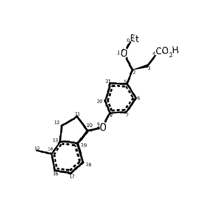 CCO[C@@H](CC(=O)O)c1ccc(OC2CCc3c(C)cccc32)cc1